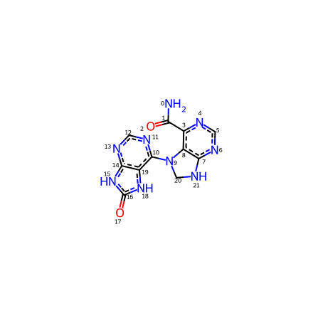 NC(=O)c1ncnc2c1N(c1ncnc3[nH]c(=O)[nH]c13)CN2